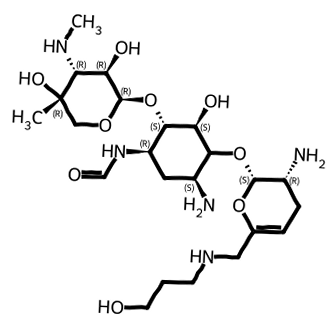 CN[C@@H]1[C@@H](O)[C@@H](O[C@H]2[C@H](NC=O)C[C@H](N)C(O[C@H]3OC(CNCCCO)=CC[C@H]3N)[C@@H]2O)OC[C@]1(C)O